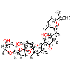 CC[C@@H](C=O)[C@H]1CC[C@H](C)[C@H]([C@@H](C)[C@H](O)[C@H](C)C(=O)[C@H](CC)[C@H]2O[C@]3(C=C[C@@H](O)[C@]4(CC[C@@](C)([C@H]5CC[C@](O)(CC)[C@H](C)O5)O4)O3)[C@H](C)C[C@@H]2C)O1